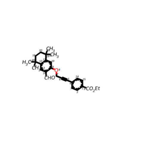 CCOC(=O)c1ccc(C#CCOc2cc3c(cc2C=O)C(C)(C)CCC3(C)C)cc1